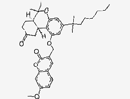 CCCCCCC(C)(C)c1cc(OCc2cc3ccc(OC)cc3oc2=O)c2c(c1)OC(C)(C)[C@@H]1CCC(=O)C[C@@H]21